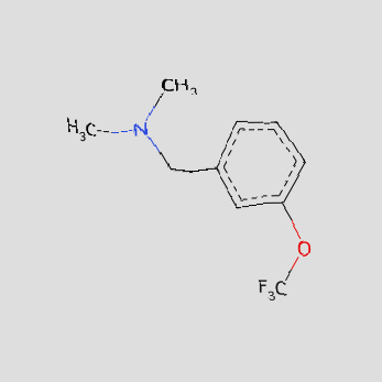 CN(C)Cc1cccc(OC(F)(F)F)c1